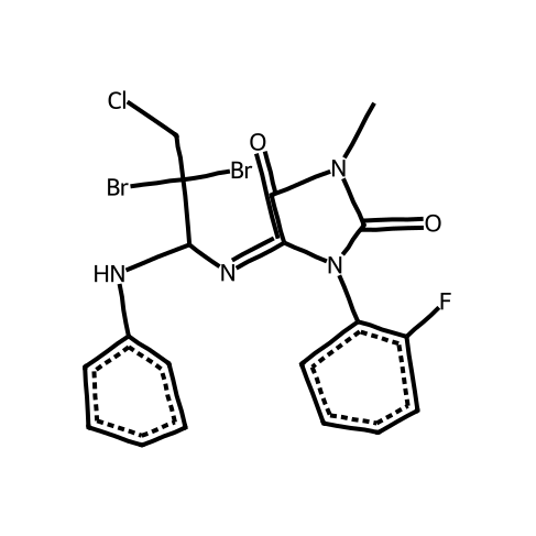 CN1C(=O)C(=NC(Nc2ccccc2)C(Br)(Br)CCl)N(c2ccccc2F)C1=O